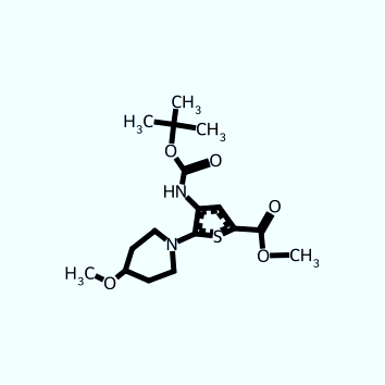 COC(=O)c1cc(NC(=O)OC(C)(C)C)c(N2CCC(OC)CC2)s1